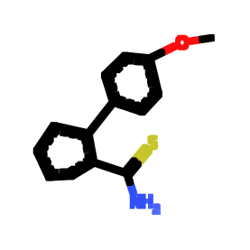 COc1ccc(-c2ccccc2C(N)=S)cc1